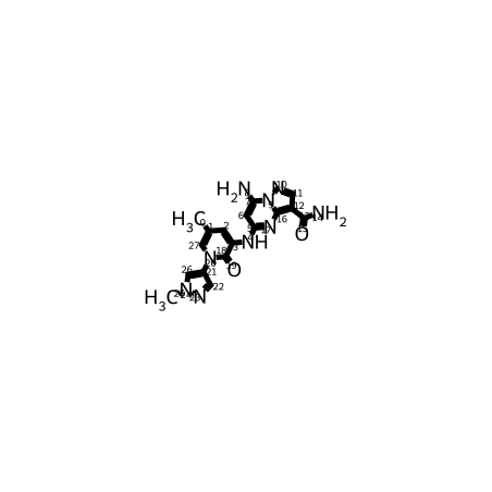 Cc1cc(Nc2cc(N)n3ncc(C(N)=O)c3n2)c(=O)n(-c2cnn(C)c2)c1